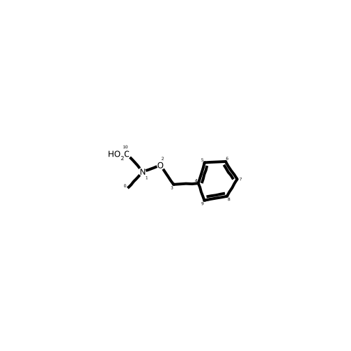 CN(OCc1ccccc1)C(=O)O